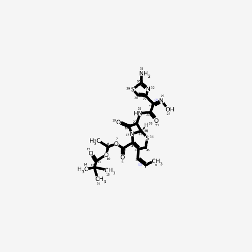 C/C=C\C1=C(C(=O)OC(C)OC(=O)C(C)(C)C)N2C(=O)C(NC(=O)/C(=N\O)c3csc(N)n3)[C@H]2SC1